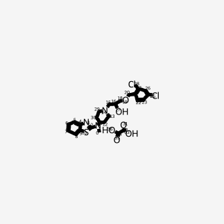 CN(c1nc2ccccc2s1)C1CCN(CC(O)COCc2ccc(Cl)cc2Cl)CC1.O=C(O)C(=O)O